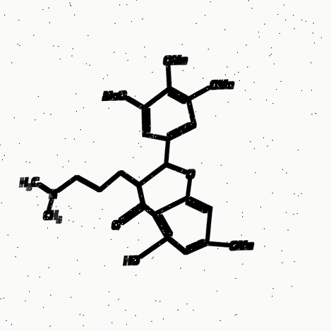 COc1cc(O)c2c(c1)OC(c1cc(OC)c(OC)c(OC)c1)C(CCCN(C)C)C2=O